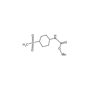 CC(C)(C)OC(=O)NC1CCC(S(C)(=O)=O)CC1